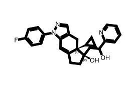 OC(C[C@]1(O)CCC2=Cc3c(cnn3-c3ccc(F)cc3)C[C@@]21C1CC1)c1ccccn1